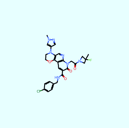 Cn1cc(N2CCOc3c2cnc2c3cc(C(=O)NCc3ccc(Cl)cc3)c(=O)n2CC(=O)N2CC(C)(F)C2)cn1